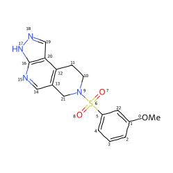 COc1cccc(S(=O)(=O)N2CCc3c(cnc4[nH]ncc34)C2)c1